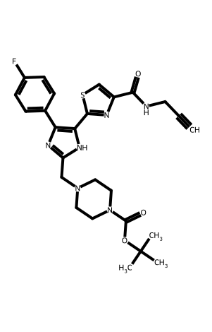 C#CCNC(=O)c1csc(-c2[nH]c(CN3CCN(C(=O)OC(C)(C)C)CC3)nc2-c2ccc(F)cc2)n1